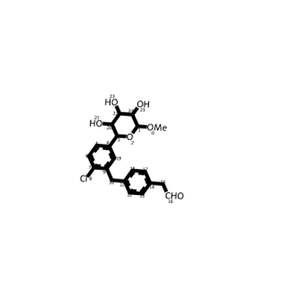 COC1OC(c2ccc(Cl)c(Cc3ccc(CC=O)cc3)c2)C(O)C(O)C1O